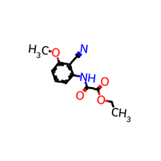 CCOC(=O)C(=O)Nc1cccc(OC)c1C#N